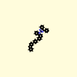 c1ccc(-c2nc(-n3c4ccccc4c4c5cc(-c6ccc(-c7ccc8c(c7)-c7ccccc7C8)cc6)ccc5ccc43)nc3ccccc23)cc1